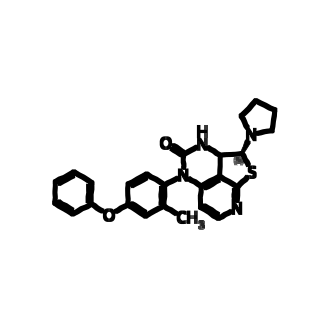 Cc1cc(Oc2ccccc2)ccc1N1C(=O)NC2c3c1ccnc3S[C@@H]2N1CCCC1